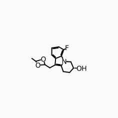 CC1OC(Cc2c3n(c4c(F)cccc24)C[C@@H](O)CC3)O1